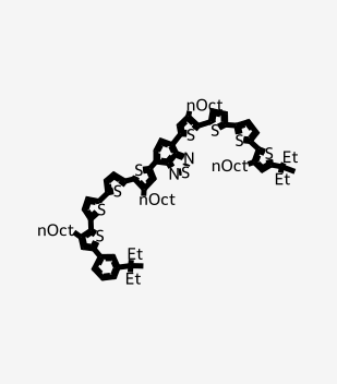 CCCCCCCCc1cc(-c2cccc(C(C)(CC)CC)c2)sc1-c1ccc(-c2ccc(-c3sc(-c4ccc(-c5cc(CCCCCCCC)c(-c6ccc(-c7ccc(-c8sc(C(C)(CC)CC)cc8CCCCCCCC)s7)s6)s5)c5nsnc45)cc3CCCCCCCC)s2)s1